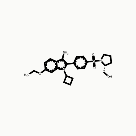 CCOc1ccc2c(N)c(-c3ccc(S(=O)(=O)N4CCC[C@@H]4CO)cc3)n(C3CCC3)c2c1